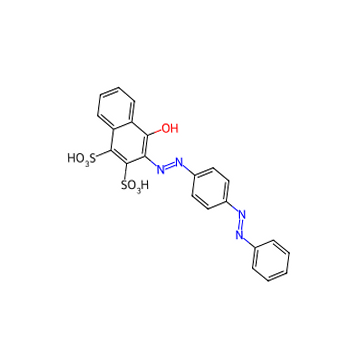 O=S(=O)(O)c1c(N=Nc2ccc(N=Nc3ccccc3)cc2)c(O)c2ccccc2c1S(=O)(=O)O